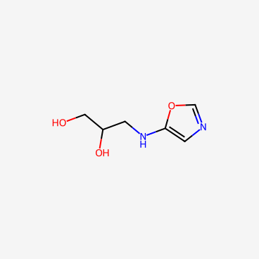 OCC(O)CNc1cnco1